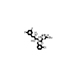 CCCCC(F)C[C@@H](NC(=O)O)C(=O)N(Cc1cccc(CC)c1)C[C@@H](O)[C@@H](N)Cc1cc(F)cc(F)c1